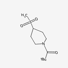 CC(C)(C)C(=O)N1CCC(S(C)(=O)=O)CC1